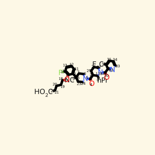 CCCC1C(C(=O)N2CCC(C#N)(c3cccc(F)c3OCCCCC(=O)O)CC2)CCCN1C(=O)c1ncccc1C(F)(F)F